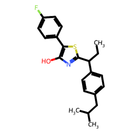 CCC(c1ccc(CC(C)C)cc1)c1nc(O)c(-c2ccc(F)cc2)s1